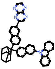 c1ccc2c(c1)c1ccccc1n2-c1ccc2cc(C3(c4ccc5cc(-c6cnc7nccnc7n6)ccc5c4)C4CC5CC(C4)CC3C5)ccc2c1